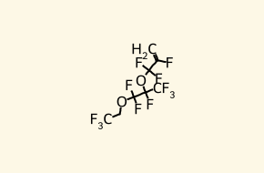 C=C(F)C(F)(F)OC(F)(C(F)(F)F)C(F)(F)OCC(F)(F)F